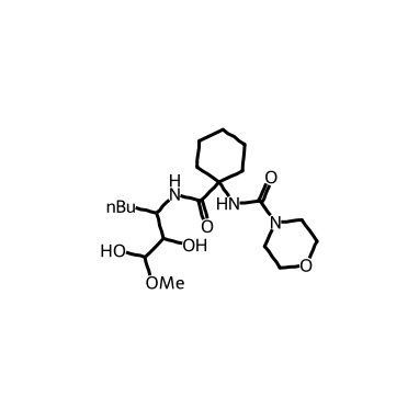 CCCCC(NC(=O)C1(NC(=O)N2CCOCC2)CCCCC1)C(O)C(O)OC